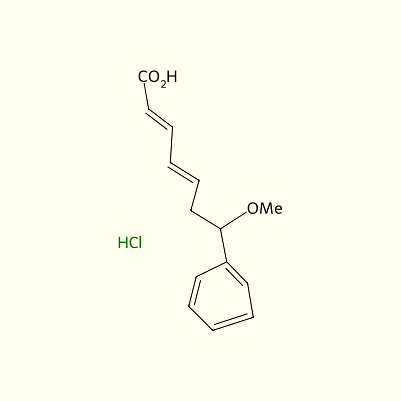 COC(CC=CC=CC(=O)O)c1ccccc1.Cl